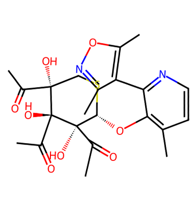 CC(=O)[C@]1(O)[C@@](O)(C(C)=O)CS[C@H](Oc2c(C)ccnc2-c2c(C)noc2C)[C@@]1(O)C(C)=O